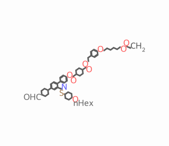 C=CC(=O)OCCCCCCOc1ccc(CCOC(=O)C2CCC(C(=O)Oc3ccc4c(c3)nc(SC3CCC(OCCCCCC)CC3)c3cc(C5CCC(C=O)CC5)ccc34)CC2)cc1